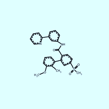 COc1cccc(-c2cc(S(C)(=O)=O)ccc2C(=O)Nc2cccc(-c3ccccn3)c2)c1C